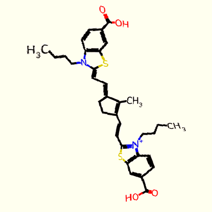 CCCCN1/C(=C/C=C2\CCC(/C=C/c3sc4cc(C(=O)O)ccc4[n+]3CCCC)=C2C)Sc2cc(C(=O)O)ccc21